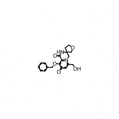 O=C1NC2(CCOC2)Cn2c(CO)cc(=O)c(OCc3ccccc3)c21